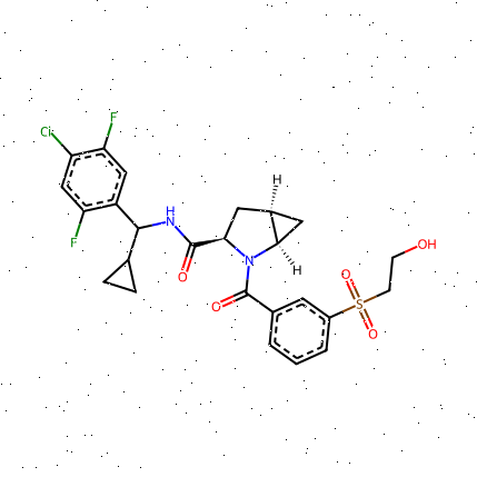 O=C(NC(c1cc(F)c(Cl)cc1F)C1CC1)[C@H]1C[C@H]2C[C@H]2N1C(=O)c1cccc(S(=O)(=O)CCO)c1